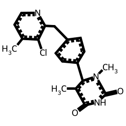 Cc1ccnc(Cc2ccc(-c3c(C)c(=O)[nH]c(=O)n3C)cc2)c1Cl